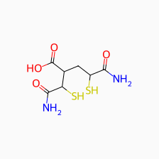 NC(=O)C(S)CC(C(=O)O)C(S)C(N)=O